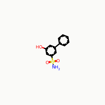 NS(=O)(=O)c1cc(O)cc(-c2ccccc2)c1